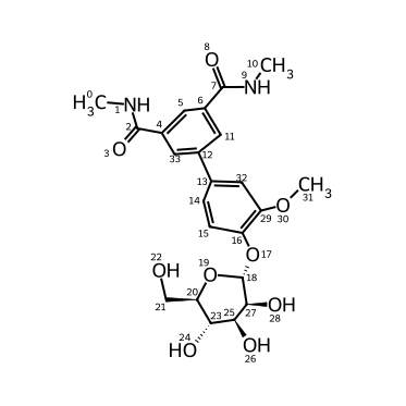 CNC(=O)c1cc(C(=O)NC)cc(-c2ccc(O[C@H]3O[C@H](CO)[C@@H](O)[C@H](O)[C@@H]3O)c(OC)c2)c1